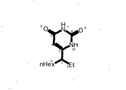 CCCCCCC(CC)c1cc(=O)[nH]c(=O)[nH]1